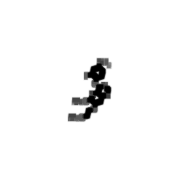 COCCOc1cc2ncnc(Oc3ccc(N)cc3F)c2nc1OC